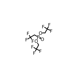 O=P(CC(F)(F)F)(OCC(F)(F)F)OCC(F)(F)F